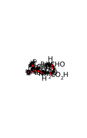 CC(C)[C@](C=O)(CN[C@@H](C)C(=O)N[C@@H](CCCCNC(=O)[C@@H](N)CCN(C(=O)CO)[C@@H](c1cc(-c2cc(F)ccc2F)cn1Cc1ccccc1)C(C)(C)C)C(=O)O)NC(=O)CBr